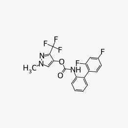 Cn1cc(OC(=O)Nc2ccccc2-c2ccc(F)cc2F)c(C(F)(F)F)n1